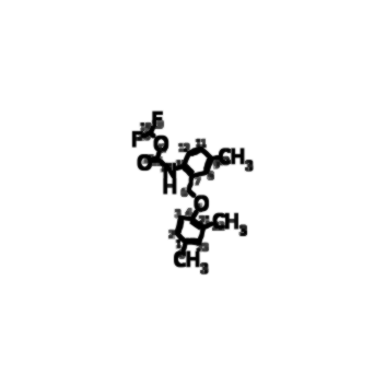 Cc1ccc(OCc2cc(C)ccc2NC(=O)OC(F)F)c(C)c1